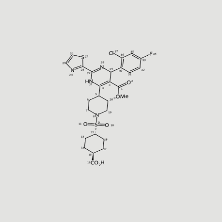 COC(=O)C1=C(C2CCN(S(=O)(=O)[C@H]3CC[C@H](C(=O)O)CC3)CC2)NC(c2nccs2)=NC1c1ccc(F)cc1Cl